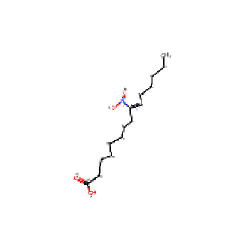 CCCCC/C=C(/CCCCCCCC(=O)O)[N+](=O)[O-]